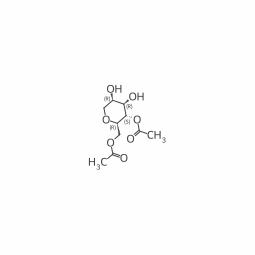 CC(=O)OC[C@H]1OC[C@@H](O)[C@@H](O)[C@@H]1OC(C)=O